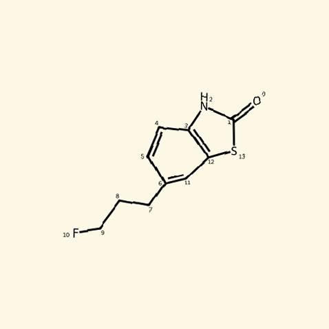 O=c1[nH]c2ccc(CCCF)cc2s1